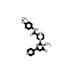 COc1ccc(NC(=O)C2CN(c3nc(-c4ccncc4)cc(=O)n3C)CCO2)cc1